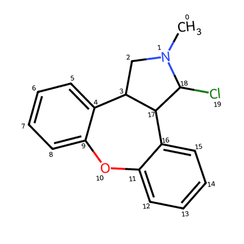 CN1CC2c3ccccc3Oc3ccccc3C2C1Cl